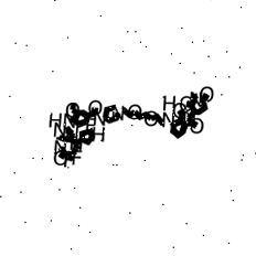 COc1cc(C(=O)NC2CCN(CCOCCOCCNc3cccc4c3C(=O)N(C3CCC(=O)N(C)C3=O)C4=O)CC2)c(F)cc1Nc1ncc2c(n1)N(C1CCCC1)CC(F)(F)C(=O)N2C